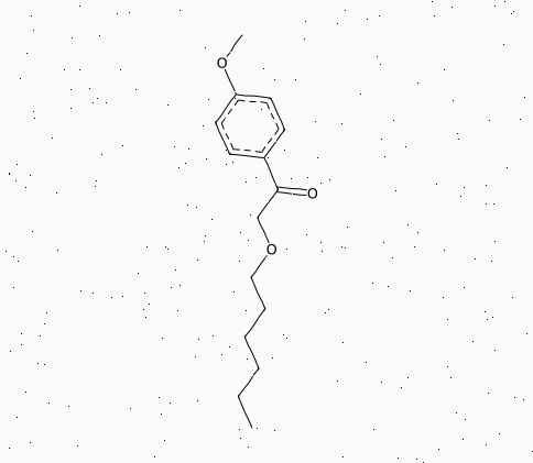 CCCCCCOCC(=O)c1ccc(OC)cc1